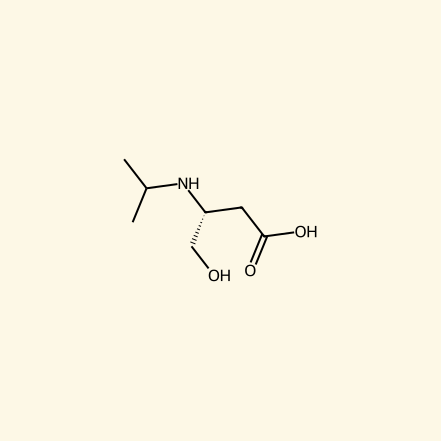 CC(C)N[C@@H](CO)CC(=O)O